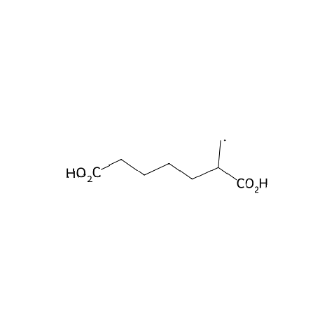 [CH2]C(CCCCC(=O)O)C(=O)O